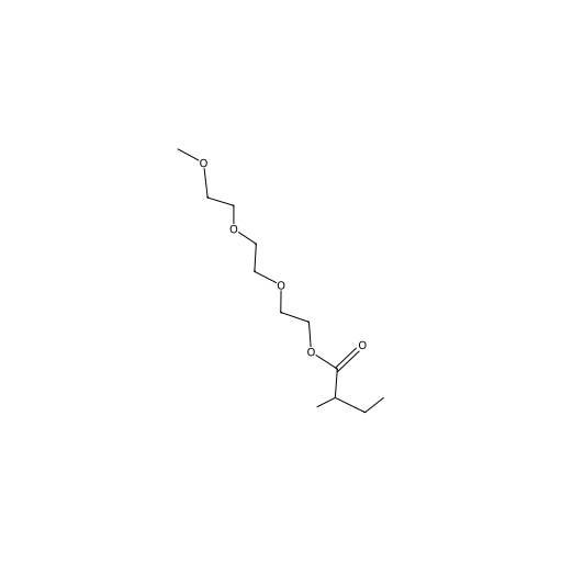 CCC(C)C(=O)OCCOCCOCCOC